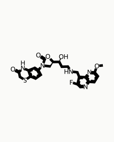 COc1ccc2ncc(F)c(CNCC[C@@H](O)[C@H]3CN(c4ccc5c(c4)NC(=O)CS5)C(=O)O3)c2n1